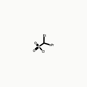 CCCC(CC)S(=O)(=O)Cl